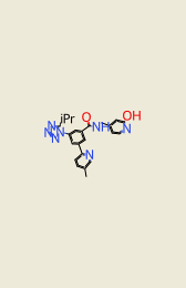 Cc1ccc(-c2cc(C(=O)NCc3ccnc(O)c3)cc(-n3nnnc3C(C)C)c2)nc1